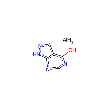 Oc1ncnc2[nH]ncc12.[AlH3]